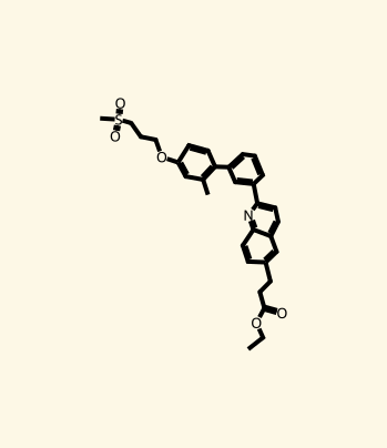 CCOC(=O)CCc1ccc2nc(-c3cccc(-c4ccc(OCCCS(C)(=O)=O)cc4C)c3)ccc2c1